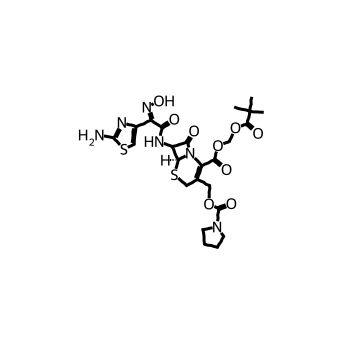 CC(C)(C)C(=O)OCOC(=O)C1=C(COC(=O)N2CCCC2)CS[C@H]2C(NC(=O)/C(=N\O)c3csc(N)n3)C(=O)N12